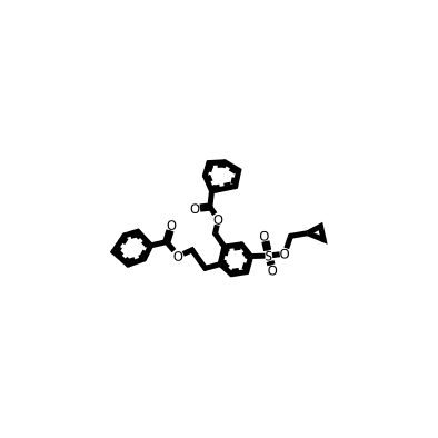 O=C(OCCc1ccc(S(=O)(=O)OCC2CC2)cc1COC(=O)c1ccccc1)c1ccccc1